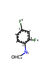 O=C[N]c1ccc(F)cc1F